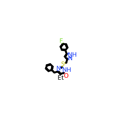 CCc1c(Cc2ccccc2)nc(SCc2cc(-c3ccc(F)cc3)[nH]n2)[nH]c1=O